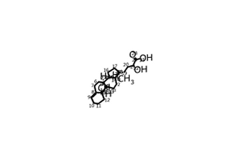 C[C@]12CC[C@H]3[C@@H](CCC4=CCCC[C@@]43C)[C@@H]1CC[C@@H]2CCC(O)C(=O)O